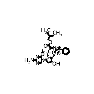 CCC(CC)COC(=O)[C@H](C)NP(=O)(OC[C@H]1S[C@@H](n2cnc(N)nc2=O)CC1O)Oc1ccccc1